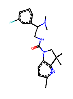 Cc1ccc2c(n1)C(C)(C)CN2C(=O)NCC(c1cccc(F)c1)N(C)C